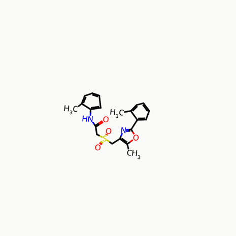 Cc1ccccc1NC(=O)CS(=O)(=O)Cc1nc(-c2ccccc2C)oc1C